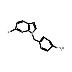 O=C(O)c1ccc(Cn2ccc3ccc(Cl)nc32)cc1